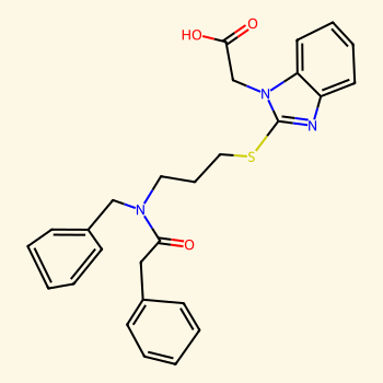 O=C(O)Cn1c(SCCCN(Cc2ccccc2)C(=O)Cc2ccccc2)nc2ccccc21